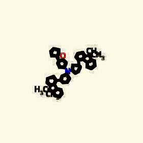 CC1(C)c2ccccc2-c2c(-c3cccc(N(c4cccc(-c5cccc6c5-c5ccccc5C6(C)C)c4)c4ccc5c(c4)oc4ccccc45)c3)cccc21